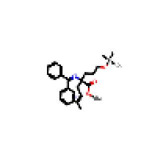 C/C=C/CC(CCCO[Si](C)(C)C(C)(C)C)(N=C(c1ccccc1)c1ccccc1)C(=O)OC(C)(C)C